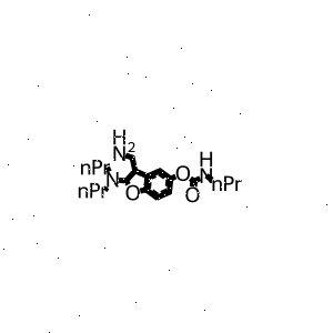 CCCNC(=O)Oc1ccc2c(c1)C(CN)C(N(CCC)CCC)O2